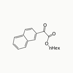 CCCCCCOC(=O)C(=O)c1ccc2ccccc2c1